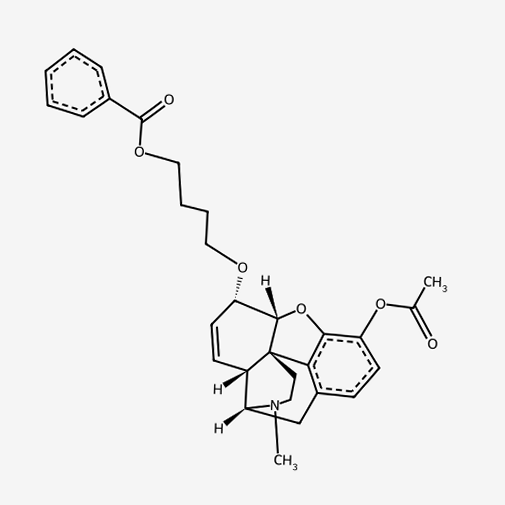 CC(=O)Oc1ccc2c3c1O[C@H]1[C@@H](OCCCCOC(=O)c4ccccc4)C=C[C@H]4[C@@H](C2)N(C)CC[C@@]341